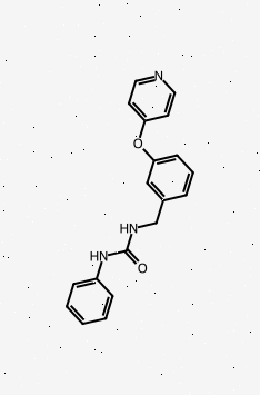 O=C(NCc1cccc(Oc2ccncc2)c1)Nc1ccccc1